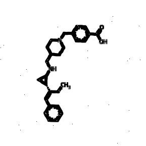 CC/C(=C\c1ccccc1)[C@@H]1CC1NCC1CCN(Cc2ccc(C(=O)O)cc2)CC1